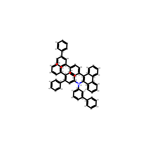 c1ccc(-c2cccc(-c3ccc(-c4c(N(c5cccc(-c6ccccc6)c5)c5ccc(-c6ccccc6)c(-c6ccccc6)c5)c5ccccc5c5ccccc45)cc3)c2)cc1